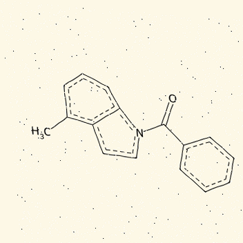 Cc1cccc2c1ccn2C(=O)c1ccccc1